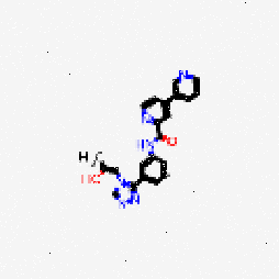 CC(O)Cn1cnnc1-c1cccc(NC(=O)c2cc(-c3cccnc3)ccn2)c1